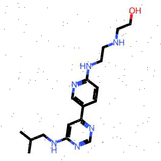 CC(C)CNc1cc(-c2ccc(NCCNCCO)nc2)ncn1